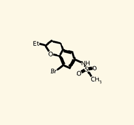 CCC1CCc2cc(NS(C)(=O)=O)cc(Br)c2O1